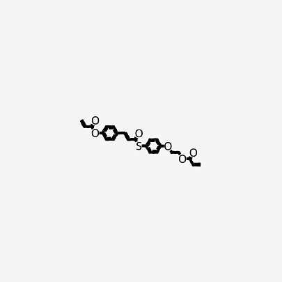 C=CC(=O)OCCOc1ccc(SC(=O)/C=C/c2ccc(OC(=O)C=C)cc2)cc1